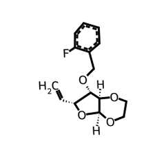 C=C[C@H]1O[C@@H]2OCCO[C@@H]2[C@H]1OCc1ccccc1F